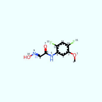 COc1cc(NC(=O)/C=N/O)c(F)cc1F